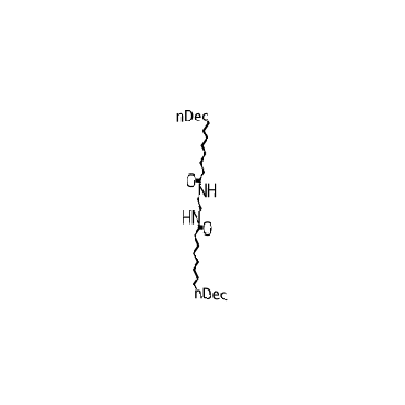 CCCCCCCCCCCCCCCCCC(=O)NCCNC(=O)CCCCCCCCCCCCCCCCC